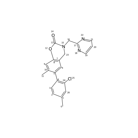 Cc1ccc(-c2cc3c(cc2C)OC(=O)N(Cc2ncccn2)C3)c(Cl)c1